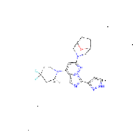 C[C@@H]1CC(F)(F)CCN1c1cc(N2CC3CCC(C2)O3)nn2c(-c3cc[nH]n3)ncc12